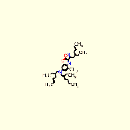 CCCCC(CC)CC1=NOC(=O)C1=Nc1ccc(N(CC(CC)CCCC)CC(CC)CCCC)cc1C